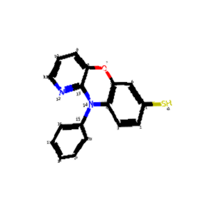 Sc1ccc2c(c1)Oc1cccnc1N2c1ccccc1